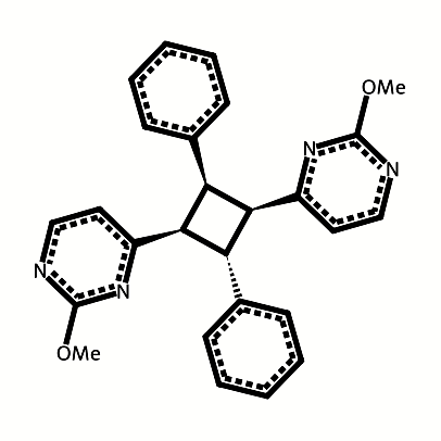 COc1nccc([C@H]2[C@H](c3ccccc3)[C@@H](c3ccnc(OC)n3)[C@H]2c2ccccc2)n1